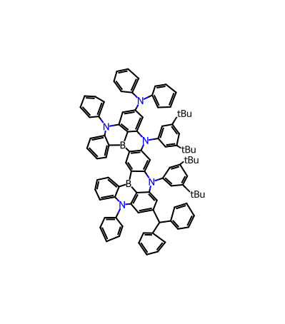 CC(C)(C)c1cc(N2c3cc4c(cc3B3c5ccccc5N(c5ccccc5)c5cc(C(c6ccccc6)c6ccccc6)cc2c53)B2c3ccccc3N(c3ccccc3)c3cc(N(c5ccccc5)c5ccccc5)cc(c32)N4c2cc(C(C)(C)C)cc(C(C)(C)C)c2)cc(C(C)(C)C)c1